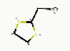 CCCCC1SCCS1